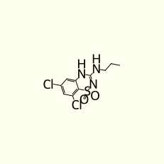 CCCNC1=NS(=O)(=O)c2c(Cl)cc(Cl)cc2N1